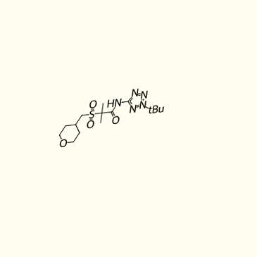 CC(C)(C)n1nnc(NC(=O)C(C)(C)S(=O)(=O)CC2CCOCC2)n1